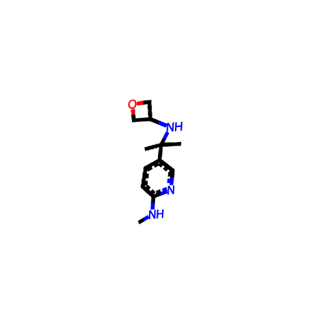 CNc1ccc(C(C)(C)NC2COC2)cn1